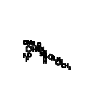 COC(C(=O)Nc1nnc(NC2CCN(c3ccc(C)nn3)C2)s1)c1cccc(OC(F)F)c1